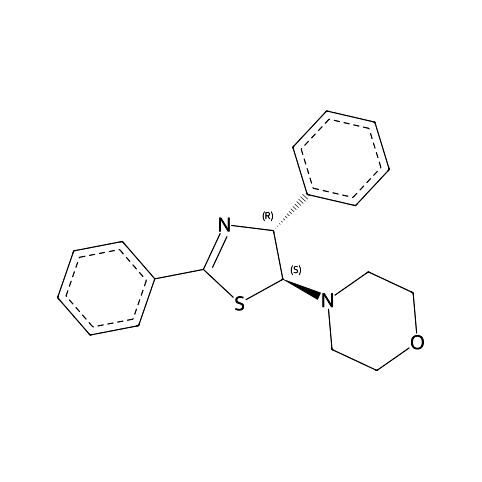 c1ccc(C2=N[C@H](c3ccccc3)[C@@H](N3CCOCC3)S2)cc1